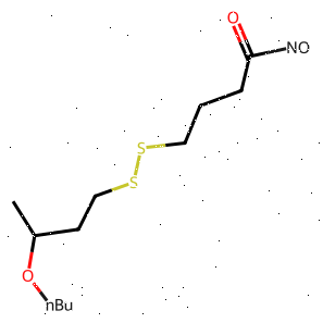 CCCCOC(C)CCSSCCCC(=O)N=O